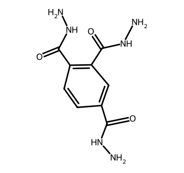 NNC(=O)c1ccc(C(=O)NN)c(C(=O)NN)c1